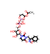 CC(=O)OC1CCOP(=O)(OP(=O)(O)OC[C@H]2O[C@@H](n3ccc(=O)n(Cc4noc5ccccc45)c3=O)C(O)[C@H]2O)O1